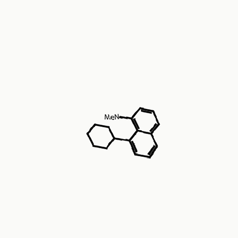 CNc1cccc2cccc(C3CCCCC3)c12